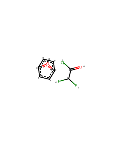 O=C(Cl)C(F)F.c1cc2ccc1o2